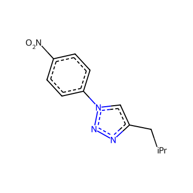 CC(C)Cc1cn(-c2ccc([N+](=O)[O-])cc2)nn1